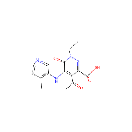 CCn1nc(C(=O)O)c(C(C)=O)c(Nc2cnccc2C)c1=O